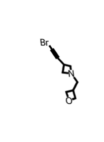 BrC#CC1CN(CC2COC2)C1